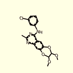 COC1Oc2cc3nc(C)nc(Nc4cccc(Cl)c4)c3cc2OC1OC